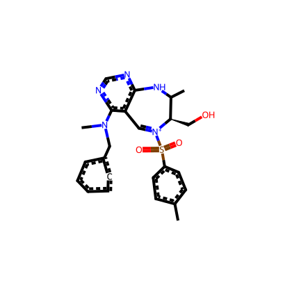 Cc1ccc(S(=O)(=O)[N+]2=Cc3c(ncnc3N(C)Cc3ccccc3)NC(C)[C@H]2CO)cc1